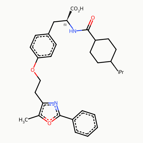 Cc1oc(-c2ccccc2)nc1CCOc1ccc(C[C@H](NC(=O)C2CCC(C(C)C)CC2)C(=O)O)cc1